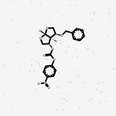 O=C(Oc1ccc([N+](=O)[O-])cc1)O[C@H]1CO[C@@H]2OC[C@@H](OCc3ccccc3)[C@H]21